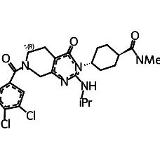 CNC(=O)[C@H]1CC[C@H](n2c(NC(C)C)nc3c(c2=O)C[C@@H](C)N(C(=O)c2ccc(Cl)c(Cl)c2)C3)CC1